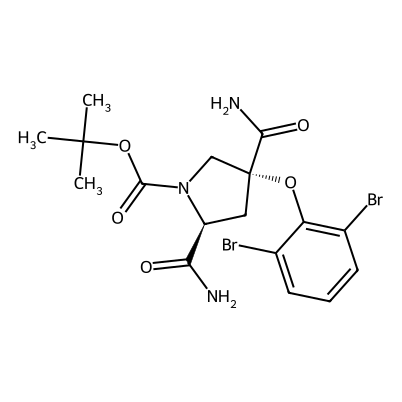 CC(C)(C)OC(=O)N1C[C@@](Oc2c(Br)cccc2Br)(C(N)=O)C[C@H]1C(N)=O